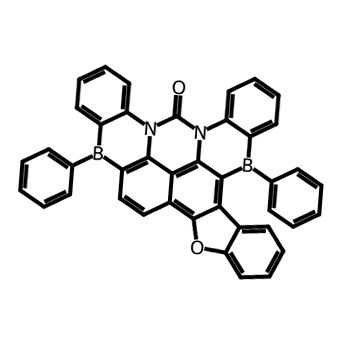 O=C1N2c3ccccc3B(c3ccccc3)c3ccc4c(c32)c2c(c3c5ccccc5oc43)B(c3ccccc3)c3ccccc3N12